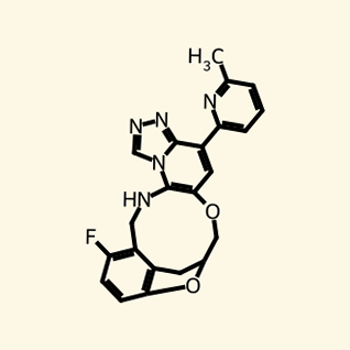 Cc1cccc(-c2cc3c(n4cnnc24)NCc2c(F)ccc4c2CC(CO3)O4)n1